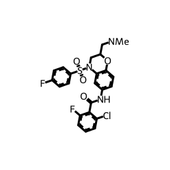 CNCC1CN(S(=O)(=O)c2ccc(F)cc2)c2cc(NC(=O)c3c(F)cccc3Cl)ccc2O1